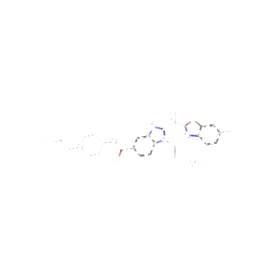 COCCn1c(Nc2nc3ccc(Cl)cc3s2)nc2cc(C(=O)NC3CCN(CCO)CC3)ccc21